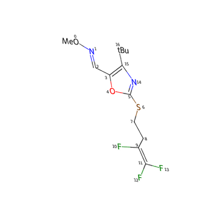 CON=Cc1oc(SCCC(F)=C(F)F)nc1C(C)(C)C